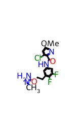 C/N=C(/N)OCCc1cc(NC(=O)c2ncc(OC)cc2Cl)cc(F)c1F